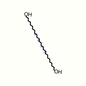 OCCCCCCCC/C=C/C/C=C/C/C=C/C/C=C/CCCCCCCCO